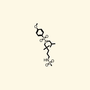 COc1ccc(S(=O)(=O)N(CC(C)C)CC(C)(C)CCCNS(C)(=O)=O)cc1